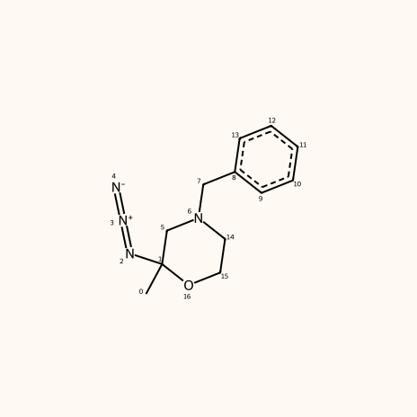 CC1(N=[N+]=[N-])CN(Cc2ccccc2)CCO1